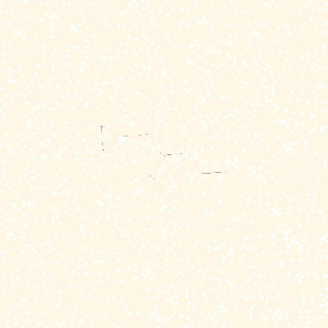 CCCN(CC1CC1)N=O